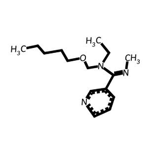 CCCCCOCN(CC)C(=NC)c1cccnc1